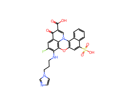 O=C(O)c1cn2c3c(c(NCCCn4ccnc4)c(F)cc3c1=O)Oc1cc(S(=O)(=O)O)c3ccccc3c1-2